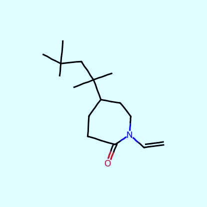 C=CN1CCC(C(C)(C)CC(C)(C)C)CCC1=O